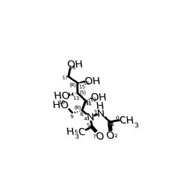 CC(=O)NN(C(C)=O)[C@H](CO)[C@@H](O)[C@H](O)[C@H](O)CO